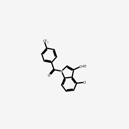 O=Cc1cn(C(=O)c2ccc(C(F)(F)F)cc2)c2cccc(Cl)c12